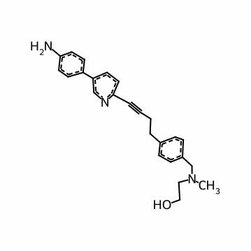 CN(CCO)Cc1ccc(CCC#Cc2ccc(-c3ccc(N)cc3)cn2)cc1